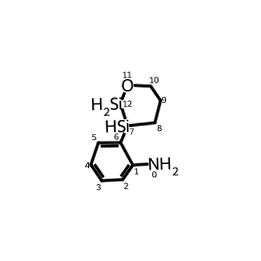 Nc1ccccc1[SiH]1CCCO[SiH2]1